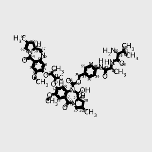 COc1cc2c(cc1OC(C)C(C)Oc1cc3c(cc1OC)C(=O)N1C=C(C)C[C@H]1[C@H](O)N3C(=O)OCc1ccc(NC(=O)[C@H](C)NC(=O)[C@@H](N)C(C)C)cc1)N=C[C@@H]1CC(C)=CN1C2=O